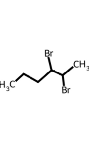 CCC[C](Br)C(C)Br